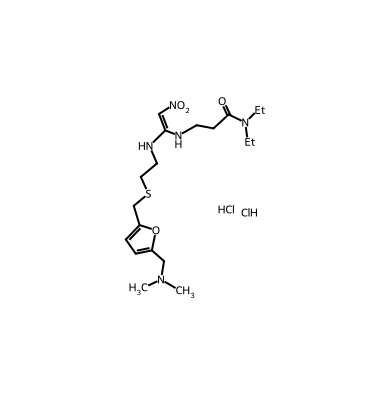 CCN(CC)C(=O)CCN/C(=C\[N+](=O)[O-])NCCSCc1ccc(CN(C)C)o1.Cl.Cl